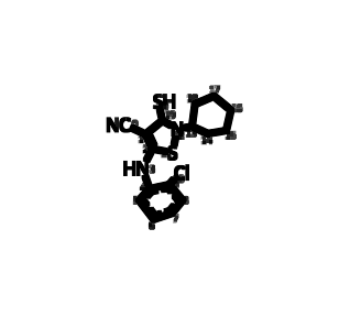 N#CC1=C(Nc2ccccc2Cl)SN(C2CCCCC2)C1S